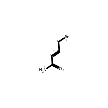 NC(=O)/C=C/CBr